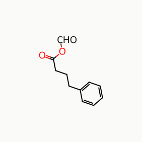 O=COC(=O)CCCc1ccccc1